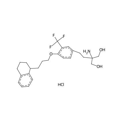 Cl.NC(CO)(CO)CCc1ccc(OCCCC2CCCc3ccccc32)c(C(F)(F)F)c1